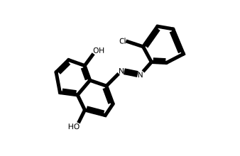 Oc1ccc(N=Nc2ccccc2Cl)c2c(O)cccc12